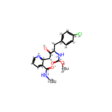 CC(C)(C)NC(=O)c1cccnc1CC(=O)C(Cc1ccc(Cl)cc1)NC(=O)OC(C)(C)C